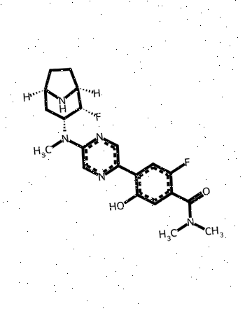 CN(C)C(=O)c1cc(O)c(-c2cnc(N(C)[C@@H]3C[C@H]4CC[C@H](N4)[C@@H]3F)cn2)cc1F